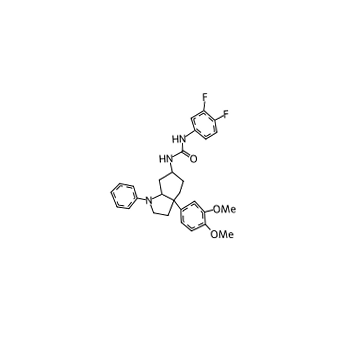 COc1ccc(C23CCC(NC(=O)Nc4ccc(F)c(F)c4)CC2N(c2ccccc2)CC3)cc1OC